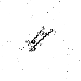 CCC(OC)OCCCC[n+]1cccc(C(=O)O)c1.CCCCCCCCCCCCCCCC1CCNC(=O)O1.[Br-]